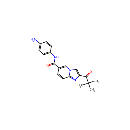 CC(C)(C)C(=O)c1cn2cc(C(=O)Nc3ccc(N)cc3)ccc2n1